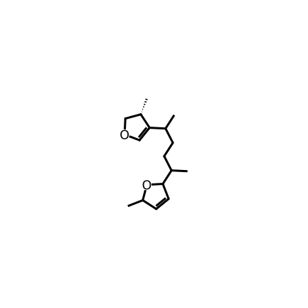 CC1C=CC(C(C)CCC(C)C2=COC[C@@H]2C)O1